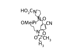 COCCCN1C(=O)C(C)(C)Oc2cc(C#N)c(C(=O)N(C(C)C)[C@@H]3CCCN(C(=O)O)C3)cc21